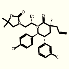 C=CC[C@@]1(C)C[C@H](c2cccc(Cl)c2)[C@@H](c2ccc(Cl)cc2)N([C@@H](CC)CN2CC(C)(C)OC2=O)C1=O